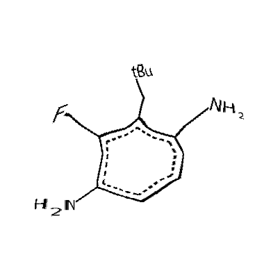 CC(C)(C)c1c(N)ccc(N)c1F